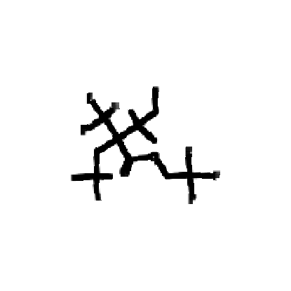 CCC(C)(C)C(CC(C)(C)C)(C(=O)OCC(F)(F)F)C(F)(F)F